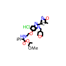 COCC(C)OC(=O)C(NCCOc1ccc2nc(-c3cc(C)c(=O)n(C)c3)n(CC3CCOCC3)c2c1)C(C)C.Cl